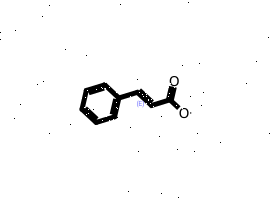 [O]C(=O)/C=C/c1ccccc1